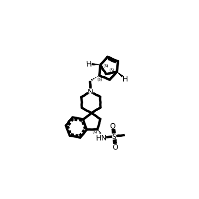 CS(=O)(=O)N[C@H]1CC2(CCN(C[C@H]3C[C@H]4C=C[C@@H]3C4)CC2)c2ccccc21